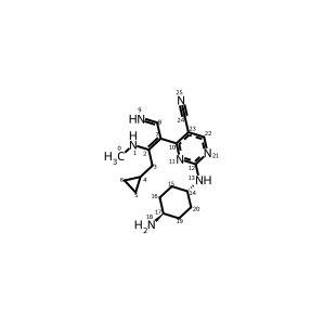 CN/C(CC1CC1)=C(\C=N)c1nc(N[C@H]2CC[C@H](N)CC2)ncc1C#N